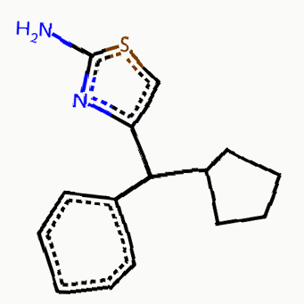 Nc1nc(C(c2ccccc2)C2CCCC2)cs1